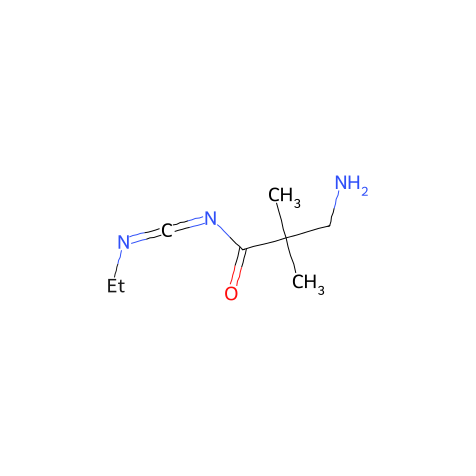 CCN=C=NC(=O)C(C)(C)CN